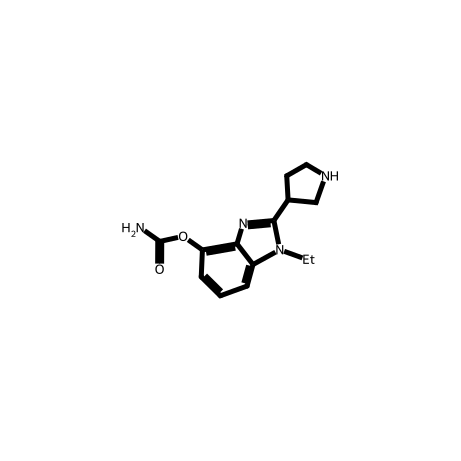 CCn1c(C2CCNC2)nc2c(OC(N)=O)cccc21